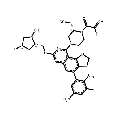 C=C(F)C(=O)N1CCN(c2nc(OC[C@@H]3C[C@@H](F)CN3C)nc3cc(-c4cc(N)cc(F)c4C(F)(F)F)c4c(c23)OCC4)C[C@@H]1CC#N